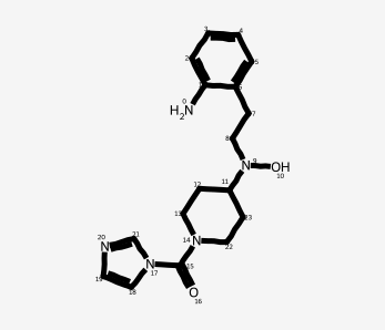 Nc1ccccc1CCN(O)C1CCN(C(=O)n2ccnc2)CC1